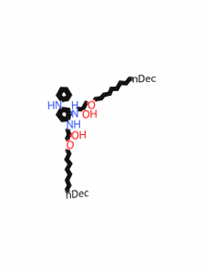 CCCCCCCCCCCCCCCCCCCOCC(O)CNc1ccc(Nc2ccccc2)cc1NCC(O)COCCCCCCCCCCCCCCCCCCC